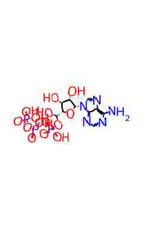 Nc1ncnc2c1ncn2[C@@H]1O[C@H](C(O)OP(=O)(O)OP(=O)(O)OP(=O)(O)O)[C@@H](O)[C@@H]1O